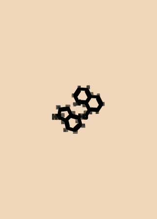 Oc1cccc2cccnc12.c1ccc2[nH]ccc2c1